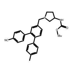 Cc1ccc(-c2ccc(CN3CCC(NC(=O)OC(C)(C)C)C3)cc2-c2ccc(C#N)cc2)cc1